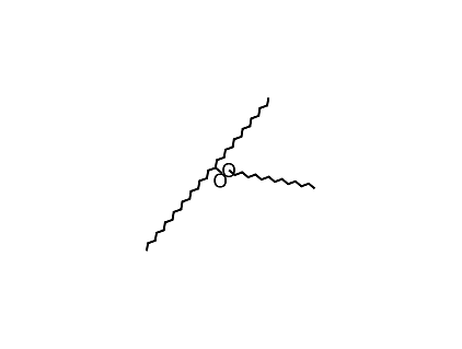 CCCCCCCCCCCCCCCCC(CCCCCCCCCCCCC)C(=O)OCCCCCCCCCCCCC